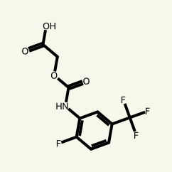 O=C(O)COC(=O)Nc1cc(C(F)(F)F)ccc1F